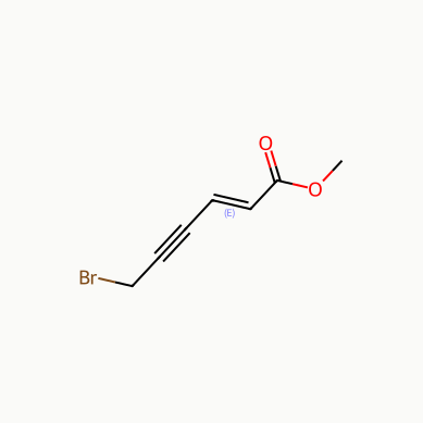 COC(=O)/C=C/C#CCBr